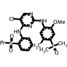 COc1cc(P(C)(C)=O)c(C)cc1Nc1ncc(Cl)c(Nc2ccccc2S(=O)(=O)C(C)C)n1